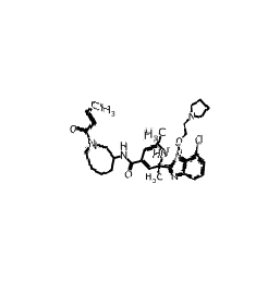 CC=CC(=O)N1CCCCC(NC(=O)C2=CC(C)(c3nc4cccc(Cl)c4n3OCCN3CCCC3)NC(C)=C2)C1